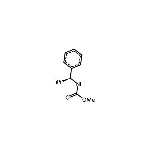 COC(=O)N[C@H](c1ccccc1)C(C)C